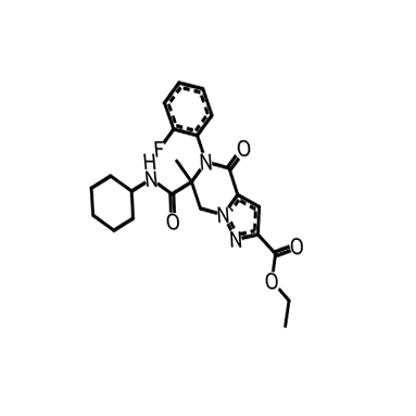 CCOC(=O)c1cc2n(n1)CC(C)(C(=O)NC1CCCCC1)N(c1ccccc1F)C2=O